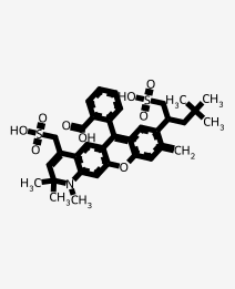 C=c1cc2c(cc1C(CC(C)(C)C)CS(=O)(=O)O)=C(c1ccccc1C(=O)O)c1cc3c(cc1O2)N(C)C(C)(C)C=C3CS(=O)(=O)O